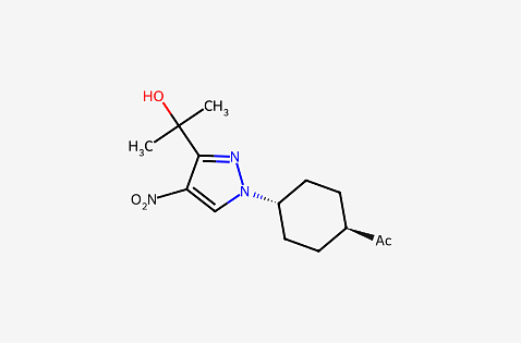 CC(=O)[C@H]1CC[C@H](n2cc([N+](=O)[O-])c(C(C)(C)O)n2)CC1